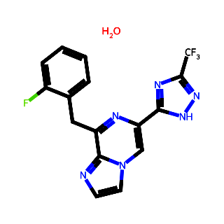 Fc1ccccc1Cc1nc(-c2nc(C(F)(F)F)n[nH]2)cn2ccnc12.O